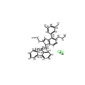 CCCC1=Cc2c(ccc(CCC)c2-c2cc(C)cc(C)c2)[CH]1[Zr+2]1[c]2cccc3c2[SiH]1c1ccccc1-3.[Cl-].[Cl-]